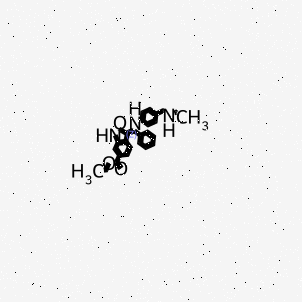 CCNCc1ccc(N/C(=C2\C(=O)Nc3cc(C(=O)OCC)ccc32)c2ccccc2)cc1